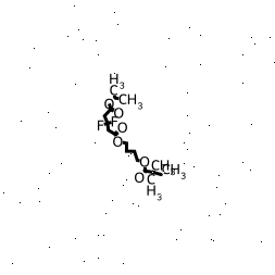 CCC(C)(C)C(=O)OCCCCOC(=O)CC(F)(F)CC(=O)OC(C)C